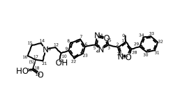 Cc1c(-c2nc(-c3ccc(C(O)CN4CCC[C@H](C(=O)O)C4)cc3)no2)noc1-c1ccccc1